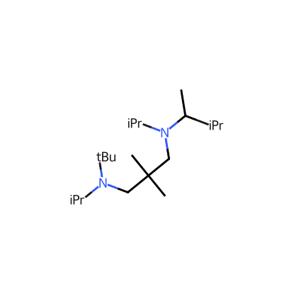 CC(C)C(C)N(CC(C)(C)CN(C(C)C)C(C)(C)C)C(C)C